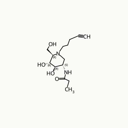 C#CCCCN1C[C@H](NC(=O)CC)[C@@H](O)[C@H](O)[C@H]1CO